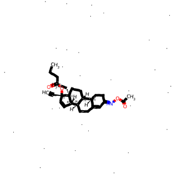 C#C[C@]1(OC(=O)CCC)C=C[C@H]2[C@@H]3CCC4=C/C(=N/OC(C)=O)CC[C@@H]4[C@H]3CC[C@@]21CC